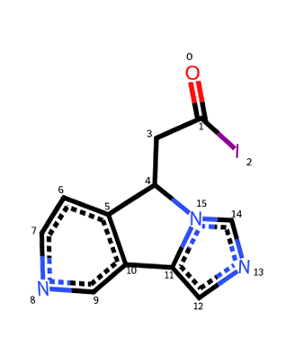 O=C(I)CC1c2ccncc2-c2cncn21